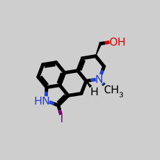 CN1C[C@H](CO)C=C2c3cccc4[nH]c(I)c(c34)C[C@H]21